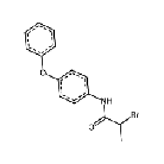 CC(Br)C(=O)Nc1ccc(Oc2ccccc2)cc1